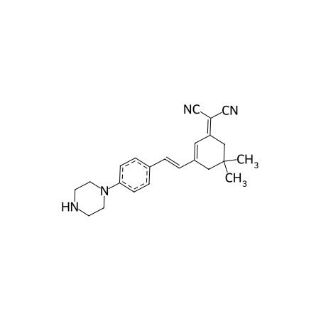 CC1(C)CC(C=Cc2ccc(N3CCNCC3)cc2)=CC(=C(C#N)C#N)C1